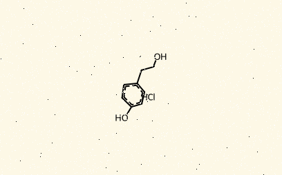 Cl.OCCc1ccc(O)cc1